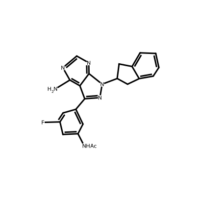 CC(=O)Nc1cc(F)cc(-c2nn(C3Cc4ccccc4C3)c3ncnc(N)c23)c1